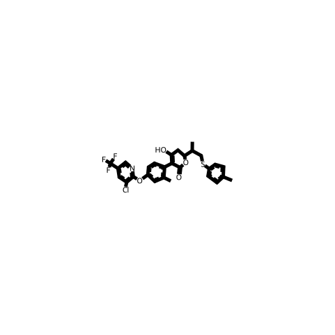 Cc1ccc(SCC(C)C2CC(O)=C(c3ccc(Oc4ncc(C(F)(F)F)cc4Cl)cc3C)C(=O)O2)cc1